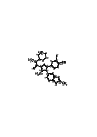 CN(C(=O)c1cc(-c2ccc(C#N)c(F)c2)c(-c2ccc3nn(C)cc3c2)n1C)C1CCCNC1